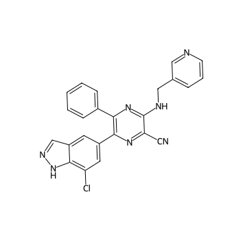 N#Cc1nc(-c2cc(Cl)c3[nH]ncc3c2)c(-c2ccccc2)nc1NCc1cccnc1